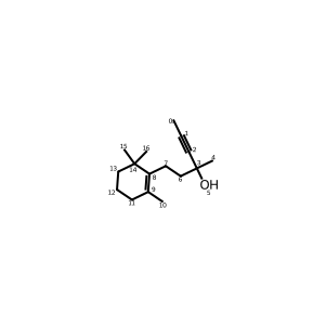 [CH2]C#CC(C)(O)CCC1=C(C)CCCC1(C)C